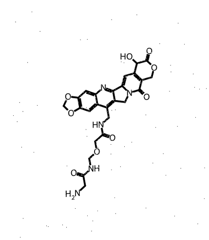 NCC(=O)NCOCC(=O)NCc1c2c(nc3cc4c(cc13)OCO4)-c1cc3c(c(=O)n1C2)COC(=O)C3O